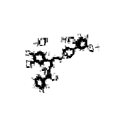 CN(CC(CCN1CCC(c2cc(O)ccc2O)CC1)c1ccc(Cl)c(Cl)c1)C(=O)c1ccccc1.Cl